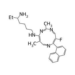 CCC(N)CCCCNc1nc(C)ncc(F)c(-c2cccc3ccccc23)ncc1C